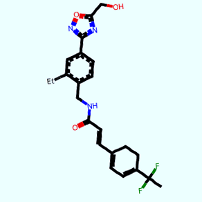 CCc1cc(-c2noc(CO)n2)ccc1CNC(=O)/C=C/C1=CC=C(C(C)(F)F)CC1